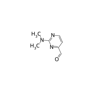 CN(C)c1nccc(C=O)n1